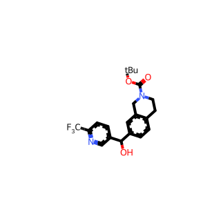 CC(C)(C)OC(=O)N1CCc2ccc(C(O)c3ccc(C(F)(F)F)nc3)cc2C1